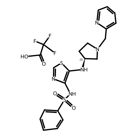 O=C(O)C(F)(F)F.O=S(=O)(Nc1ncsc1N[C@H]1CCN(Cc2ccccn2)C1)c1ccccc1